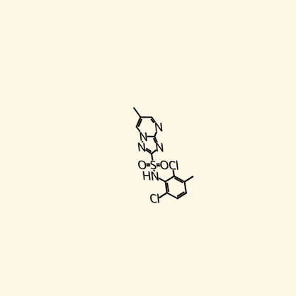 Cc1cnc2nc(S(=O)(=O)Nc3c(Cl)ccc(C)c3Cl)nn2c1